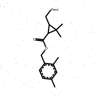 CCCC(C)CC1C(C(=O)OCc2ccc(C)cc2C)C1(C)C